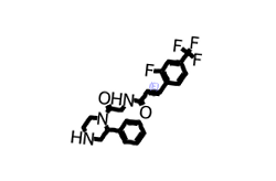 O=C(/C=C/c1ccc(C(F)(F)F)cc1F)NCC(=O)N1CCNCC1c1ccccc1